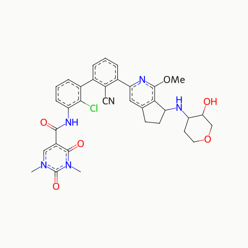 COc1nc(-c2cccc(-c3cccc(NC(=O)c4cn(C)c(=O)n(C)c4=O)c3Cl)c2C#N)cc2c1C(NC1CCOCC1O)CC2